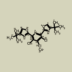 CC(C)(C)c1coc(-c2nc(-c3nc(C(C)(C)C)co3)c(Cl)c(Cl)c2Cl)n1.[Co]